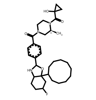 C[C@H]1CN(C(=O)c2ccc(C3NC4CCC(F)CC4(C4CCCCCCCCC4)O3)cc2)CCN1C(=O)C1(O)CC1